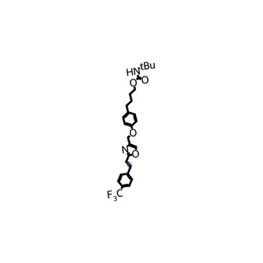 CC(C)(C)NC(=O)OCCCCc1ccc(OCc2coc(/C=C/c3ccc(C(F)(F)F)cc3)n2)cc1